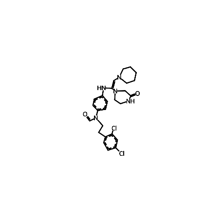 O=CN(CCc1ccc(Cl)cc1Cl)c1ccc(N/C(=C/N2CCCCC2)N2CCNC(=O)C2)cc1